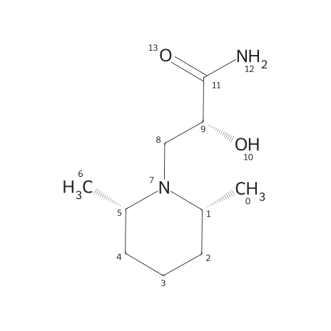 C[C@@H]1CCC[C@H](C)N1C[C@@H](O)C(N)=O